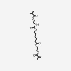 C=C(C)C(=O)OCCNC(=O)OCCCCCC(=O)OCCOC(=O)C(=C)C